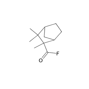 CC1(C)C2CCC(C2)C1(C)C(=O)F